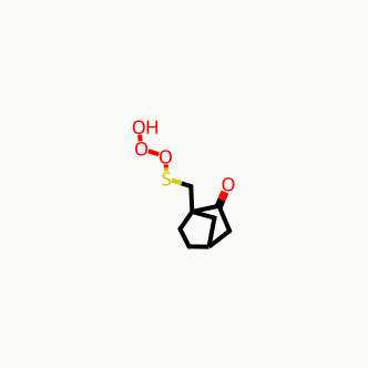 O=C1CC2CCC1(CSOOO)C2